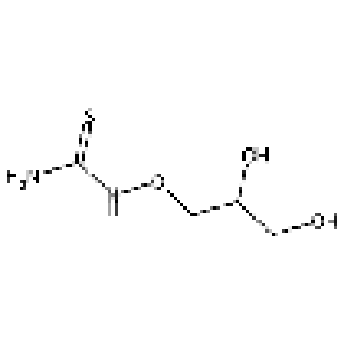 NC(=S)NOCC(O)CO